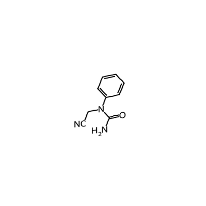 N#CCN(C(N)=O)c1ccccc1